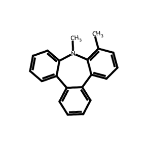 Cc1cccc2c1N(C)c1ccccc1-c1ccccc1-2